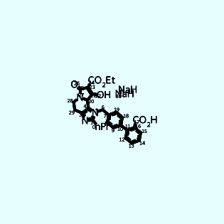 CCCc1nc2c(n1Cc1ccc(-c3ccccc3C(=O)O)cc1)C1C(O)=C(C(=O)OCC)C(=O)N1CC2.[NaH].[NaH]